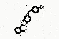 Clc1ccccc1-c1nc2ccn(Cc3ccc(Br)cc3)cc-2n1